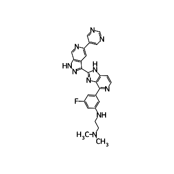 CN(C)CCNc1cc(F)cc(-c2nccc3[nH]c(-c4n[nH]c5cnc(-c6cncnc6)cc45)nc23)c1